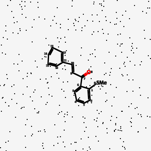 CSc1ccccc1C(=O)C=Cc1ccccc1